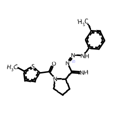 Cc1cccc(N/N=N\C(=N)C2CCCN2C(=O)c2ccc(C)s2)c1